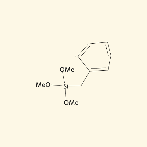 CO[Si](Cc1[c]cccc1)(OC)OC